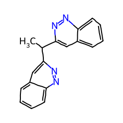 CC(c1cc2ccccc2nn1)c1cc2ccccc2nn1